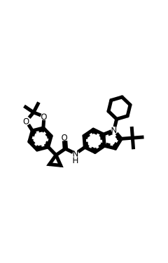 CC1(C)Oc2ccc(C3(C(=O)Nc4ccc5c(c4)cc(C(C)(C)C)n5C4CCCCC4)CC3)cc2O1